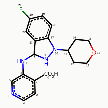 O=C(O)c1ccncc1NC1NN(C2CCOCC2)c2ccc(F)cc21